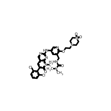 CN(C)C(=O)NCc1cc(Nc2ncc3cc(-c4c(Cl)cccc4Cl)c(=O)n(C)c3n2)cnc1OCCN1CCS(=O)(=O)CC1